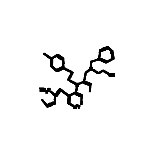 C\C=C/C(=C\C(=C\CCC)C(=C/C)\N(CCc1ccc(C)cc1)/C(=C\C)CN(CCO)Cc1ccccc1)C(=O)O